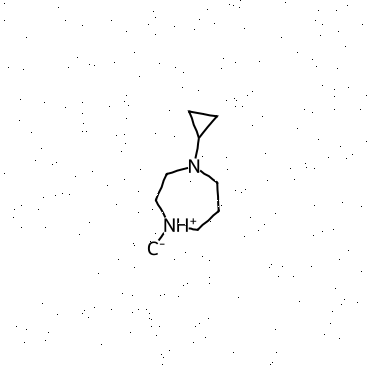 [CH2-][NH+]1CCCN(C2CC2)CC1